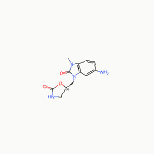 Cn1c(=O)n(C[C@H]2CNC(=O)O2)c2cc(N)ccc21